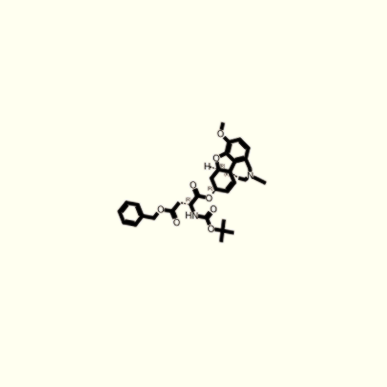 COc1ccc2c3c1O[C@@H]1C[C@@H](OC(=O)[C@@H](CC(=O)OCc4ccccc4)NC(=O)OC(C)(C)C)C=C[C@]31CCN(C)C2